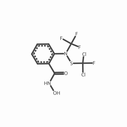 O=C(NO)c1ccccc1N(SC(F)(Cl)Cl)C(F)(F)F